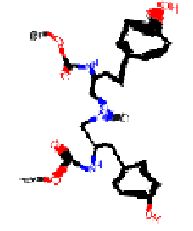 CCN(CC(Cc1ccc(O)cc1)NC(=O)OC(C)(C)C)C[C@@H](Cc1ccc(O)cc1)NC(=O)OC(C)(C)C